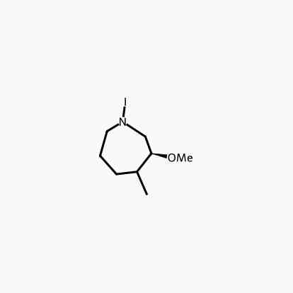 CO[C@@H]1CN(I)CCCC1C